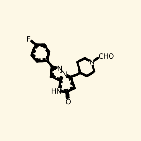 O=CN1CCC(c2cc(=O)[nH]c3cc(-c4ccc(F)cc4)nn23)CC1